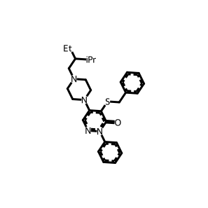 CCC(CN1CCN(c2cnn(-c3ccccc3)c(=O)c2SCc2ccccc2)CC1)C(C)C